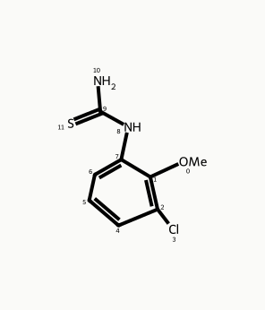 COc1c(Cl)cccc1NC(N)=S